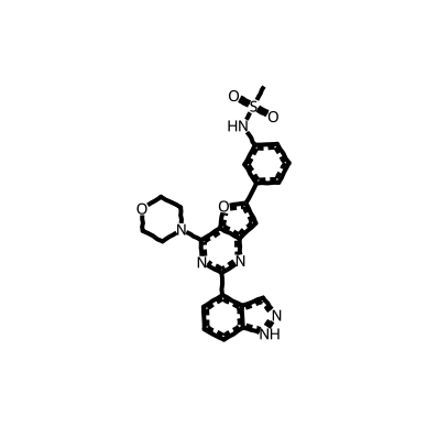 CS(=O)(=O)Nc1cccc(-c2cc3nc(-c4cccc5[nH]ncc45)nc(N4CCOCC4)c3o2)c1